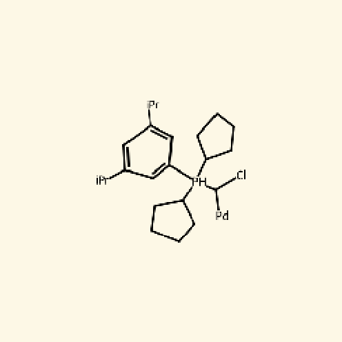 CC(C)c1cc(C(C)C)cc([PH]([CH](Cl)[Pd])(C2CCCC2)C2CCCC2)c1